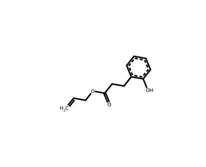 C=CCOC(=O)CCc1ccccc1O